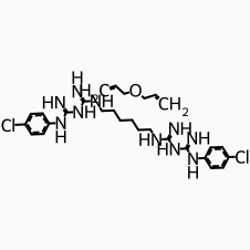 C=CCOCC=C.N=C(NCCCCCCNC(=N)NC(=N)Nc1ccc(Cl)cc1)NC(=N)Nc1ccc(Cl)cc1